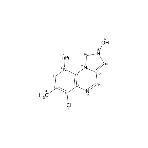 CCCN1CC(C)=C(Cl)C2=C1N1CN(O)C=C1C=N2